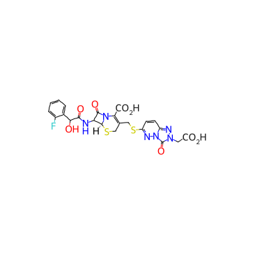 O=C(O)Cn1nc2ccc(SCC3=C(C(=O)O)N4C(=O)C(NC(=O)C(O)c5ccccc5F)[C@@H]4SC3)nn2c1=O